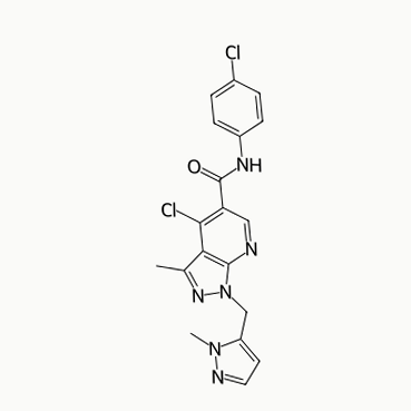 Cc1nn(Cc2ccnn2C)c2ncc(C(=O)Nc3ccc(Cl)cc3)c(Cl)c12